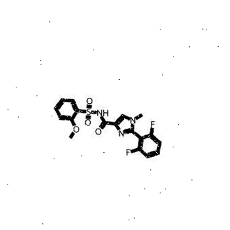 COc1ccccc1S(=O)(=O)NC(=O)c1cn(C)c(-c2c(F)cccc2F)n1